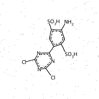 Nc1cc(S(=O)(=O)O)c(-c2nc(Cl)nc(Cl)n2)cc1S(=O)(=O)O